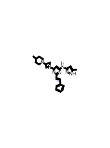 Cc1cc(Nc2cc(N3CC(N4CCC(C)CC4)C3)nc(/C=C/c3ccccc3)n2)n[nH]1